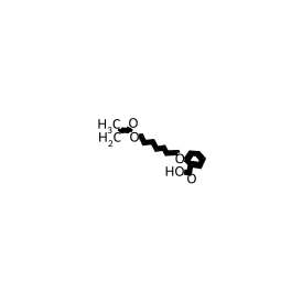 C=C(C)C(=O)OCCCCCCCOc1ccccc1C(=O)O